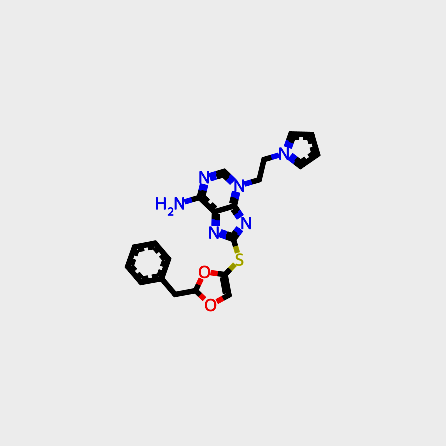 Nc1ncn(CCn2cccc2)c2nc(SC3=COC(Cc4ccccc4)O3)nc1-2